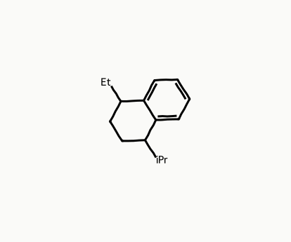 CCC1CCC(C(C)C)c2ccccc21